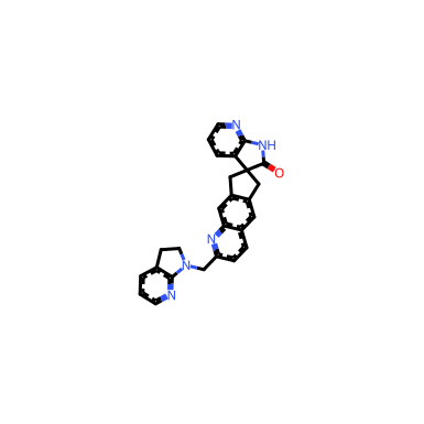 O=C1Nc2ncccc2C12Cc1cc3ccc(CN4CCc5cccnc54)nc3cc1C2